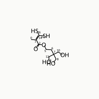 CC(C(=O)OCCC(CO)(CO)CO)=C(S)S